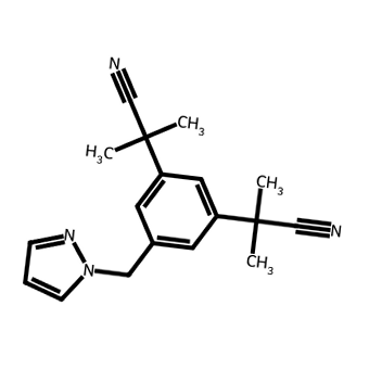 CC(C)(C#N)c1cc(Cn2cccn2)cc(C(C)(C)C#N)c1